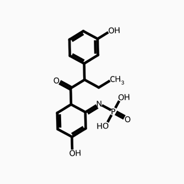 CCC(C(=O)C1C=CC(O)=CC1=NP(=O)(O)O)c1cccc(O)c1